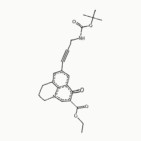 CCOC(=O)c1cn2c3c(cc(C#CCNC(=O)OC(C)(C)C)cc3c1=O)CCC2